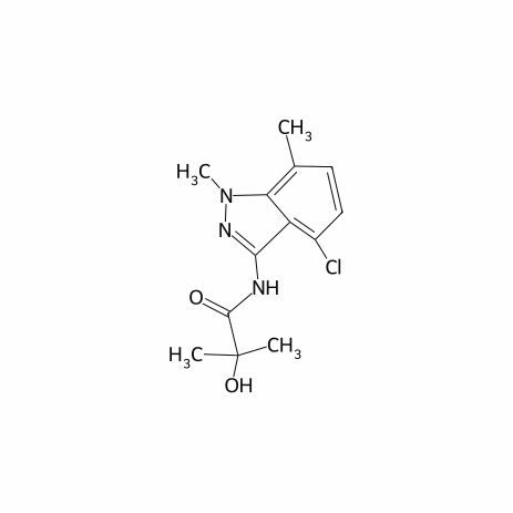 Cc1ccc(Cl)c2c(NC(=O)C(C)(C)O)nn(C)c12